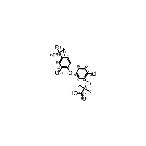 CC(C)(Oc1cc(Oc2ccc(C(F)(F)F)cc2Cl)ccc1Cl)C(=O)O